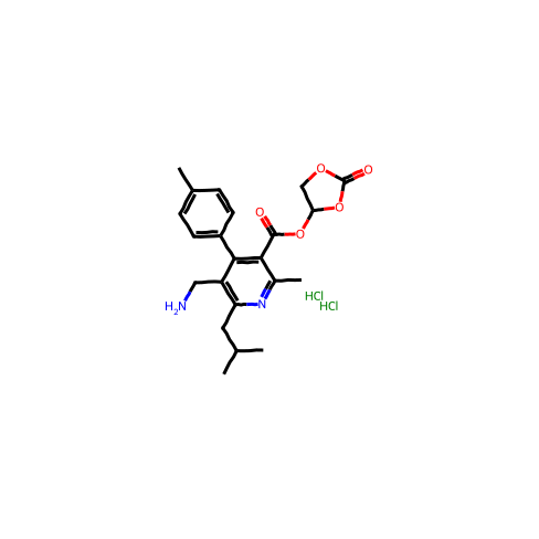 Cc1ccc(-c2c(CN)c(CC(C)C)nc(C)c2C(=O)OC2COC(=O)O2)cc1.Cl.Cl